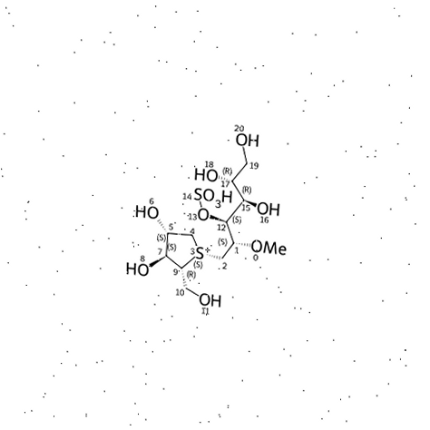 CO[C@H](C[S@@+]1C[C@@H](O)[C@H](O)[C@H]1CO)[C@@H](OS(=O)(=O)O)[C@H](O)[C@H](O)CO